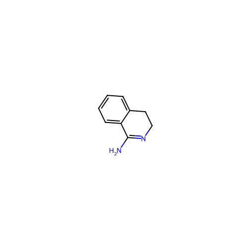 NC1=NCCc2ccccc21